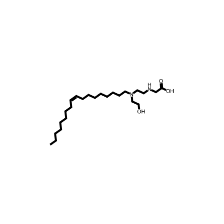 CCCCCCCC/C=C\CCCCCCCCN(CCO)CCNCC(=O)O